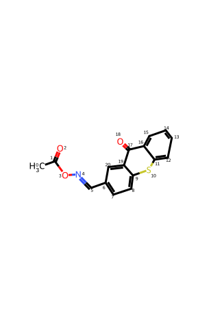 CC(=O)ON=Cc1ccc2sc3ccccc3c(=O)c2c1